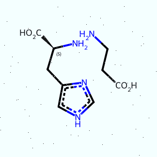 NCCC(=O)O.N[C@@H](Cc1c[nH]cn1)C(=O)O